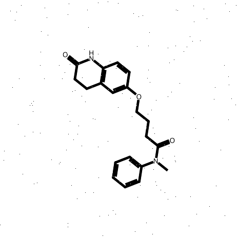 CN(C(=O)CCCOc1ccc2c(c1)CCC(=O)N2)c1ccccc1